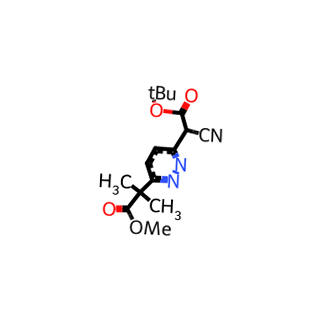 COC(=O)C(C)(C)c1ccc(C(C#N)C(=O)OC(C)(C)C)nn1